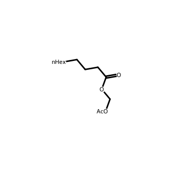 CCCCCCCCCC(=O)OCOC(C)=O